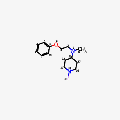 CN(CCOc1ccccc1)C1CCN(I)CC1